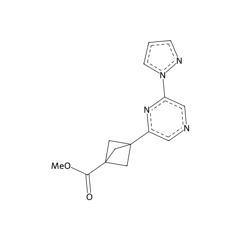 COC(=O)C12CC(c3cncc(-n4cccn4)n3)(C1)C2